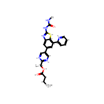 CCNC(=O)Nc1nc2cc(-c3cnc([C@@H](C)OC(=O)CCC(=O)O)nc3)cc(-c3ccccn3)c2s1